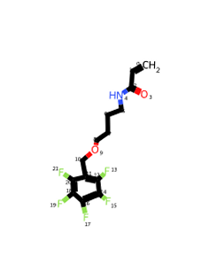 C=CC(=O)NCCCCOCc1c(F)c(F)c(F)c(F)c1F